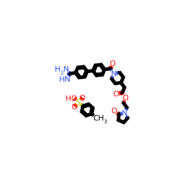 Cc1ccc(S(=O)(=O)O)cc1.N=C(N)c1ccc(-c2ccc(C(=O)N3CCC(CC(=O)OCCN4CCCC4=O)CC3)cc2)cc1